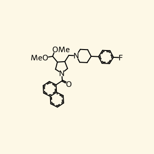 COC(OC)C1CN(C(=O)c2cccc3ccccc23)CC1CN1CCC(c2ccc(F)cc2)CC1